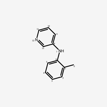 Cc1ccccc1Nc1cccnc1